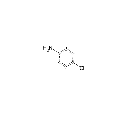 Nc1[c]cc(Cl)[c]c1